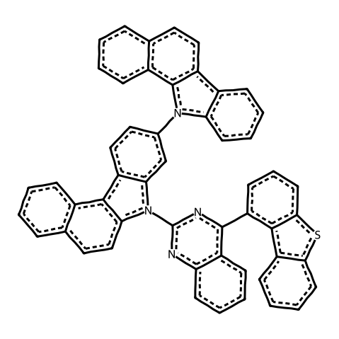 c1ccc2c(c1)ccc1c2c2ccc(-n3c4ccccc4c4ccc5ccccc5c43)cc2n1-c1nc(-c2cccc3sc4ccccc4c23)c2ccccc2n1